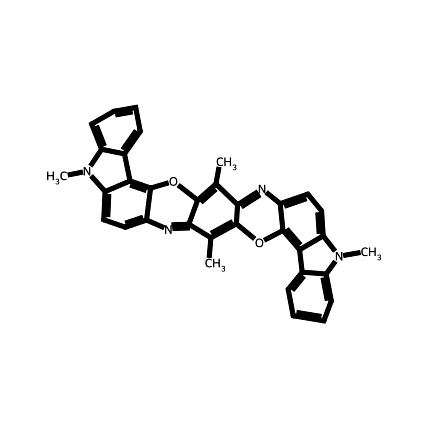 Cc1c2c(c(C)c3c1=Nc1ccc4c(c1O3)c1ccccc1n4C)=Nc1ccc3c(c1O2)c1ccccc1n3C